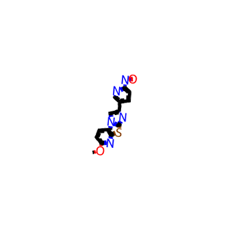 COc1ccc2c(n1)sc1nc(-c3ccc(N=O)nc3)cn12